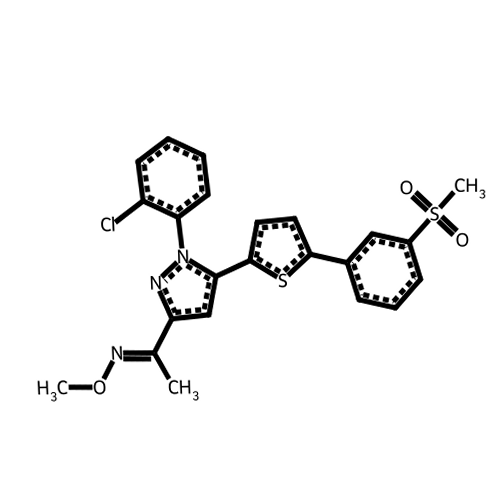 CO/N=C(\C)c1cc(-c2ccc(-c3cccc(S(C)(=O)=O)c3)s2)n(-c2ccccc2Cl)n1